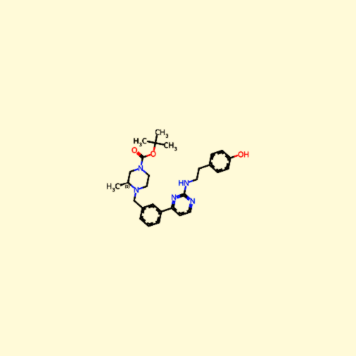 C[C@H]1CN(C(=O)OC(C)(C)C)CCN1Cc1cccc(-c2ccnc(NCCc3ccc(O)cc3)n2)c1